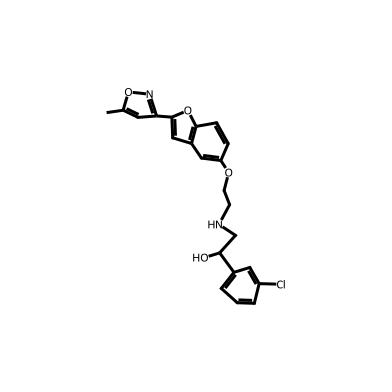 Cc1cc(-c2cc3cc(OCCNCC(O)c4cccc(Cl)c4)ccc3o2)no1